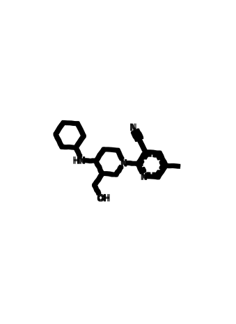 Cc1cnc(N2CCC(NC3CCCCC3)C(CO)C2)c(C#N)c1